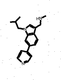 CNCc1cn(CC(C)C)c2cc(-c3ccncc3)ccc12